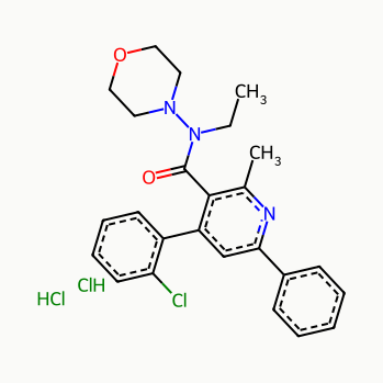 CCN(C(=O)c1c(-c2ccccc2Cl)cc(-c2ccccc2)nc1C)N1CCOCC1.Cl.Cl